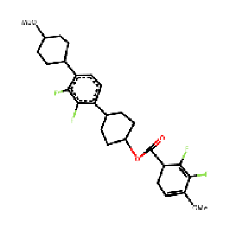 COC1=CCC(C(=O)OC2CCC(c3ccc(C4CCC(OC)CC4)c(F)c3F)CC2)C(F)=C1F